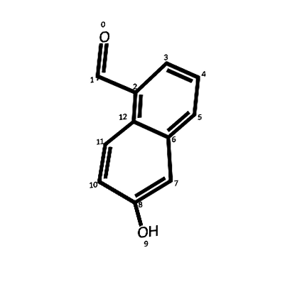 O=[C]c1cccc2cc(O)ccc12